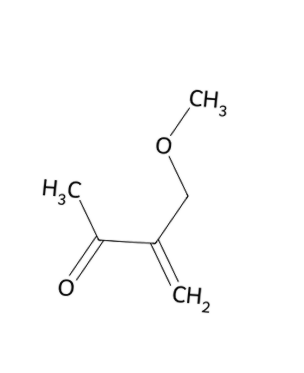 C=C(COC)C(C)=O